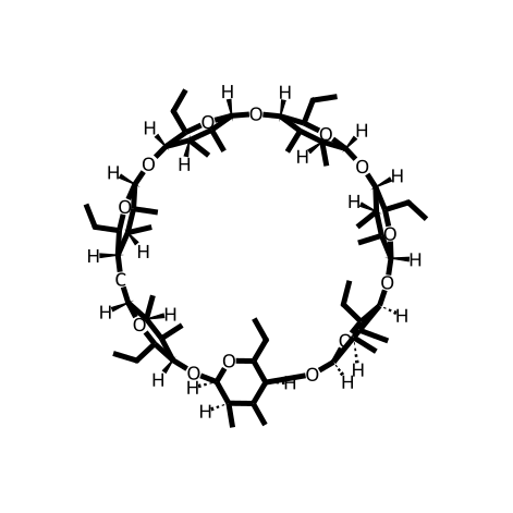 CCC1O[C@@H]2O[C@@H]3C(CC)O[C@H](O[C@@H]4C(CC)O[C@H](C[C@@H]5C(CC)O[C@H](O[C@@H]6C(CC)O[C@H](O[C@@H]7C(CC)O[C@H](O[C@@H]8C(CC)O[C@H](O[C@H]1C(C)[C@H]2C)C(C)[C@@H]8C)[C@H](C)C7C)C(C)[C@@H]6C)C(C)[C@@H]5C)[C@H](C)C4C)[C@H](C)C3C